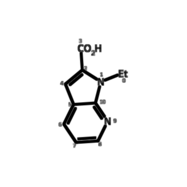 CCn1c(C(=O)O)cc2cccnc21